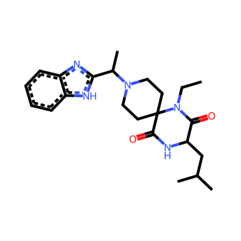 CCN1C(=O)C(CC(C)C)NC(=O)C12CCN(C(C)c1nc3ccccc3[nH]1)CC2